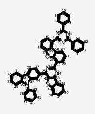 c1ccc(-c2nc(-c3ccccc3)nc(-c3cccc4oc5c(-c6nc(-c7ccc8c9ccccc9n(-c9ccccc9)c8c7)c7sc8ccccc8c7n6)cccc5c34)n2)cc1